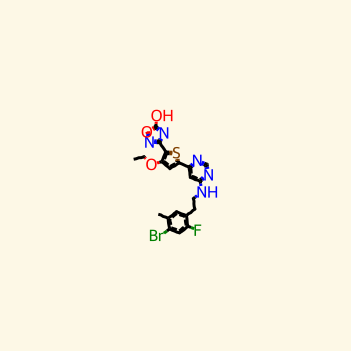 CCOc1cc(-c2cc(NCCc3cc(C)c(Br)cc3F)ncn2)sc1-c1noc(O)n1